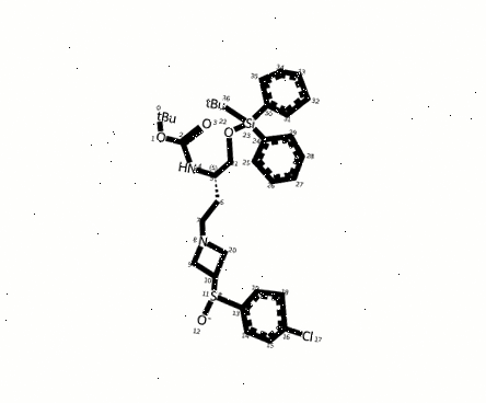 CC(C)(C)OC(=O)N[C@@H](CCN1CC([S+]([O-])c2ccc(Cl)cc2)C1)CO[Si](c1ccccc1)(c1ccccc1)C(C)(C)C